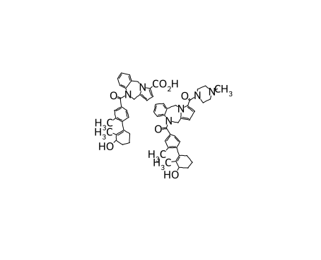 CC1=C(c2ccc(C(=O)N3Cc4ccc(C(=O)N5CCN(C)CC5)n4Cc4ccccc43)cc2C)CCCC1O.CC1=C(c2ccc(C(=O)N3Cc4ccc(C(=O)O)n4Cc4ccccc43)cc2C)CCCC1O